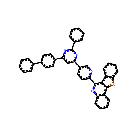 c1ccc(-c2ccc(-c3cc(-c4ccc(-c5nc6ccccc6c6sc7ccccc7c56)nc4)nc(-c4ccccc4)n3)cc2)cc1